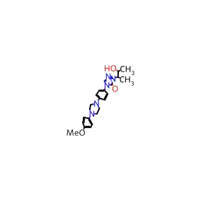 COc1ccc(N2CCN(c3ccc(-n4cnn(C(C)C(C)O)c4=O)cc3)CC2)cc1